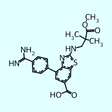 COC(=O)C(C)(C)CNc1nc2c(-c3ccc(C(=N)N)cc3)cc(C(=O)O)cc2s1